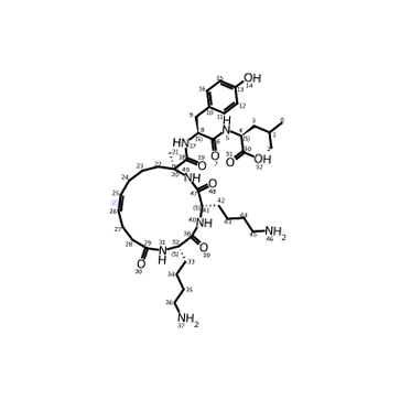 CC(C)C[C@H](NC(=O)[C@H](Cc1ccc(O)cc1)NC(=O)[C@]1(C)CCC/C=C\CCC(=O)N[C@@H](CCCCN)C(=O)N[C@@H](CCCCN)C(=O)N1)C(=O)O